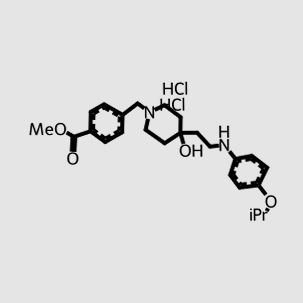 COC(=O)c1ccc(CN2CCC(O)(CCNc3ccc(OC(C)C)cc3)CC2)cc1.Cl.Cl